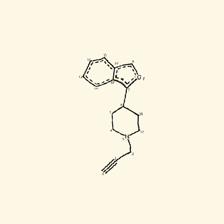 C#CCN1CCC(c2occ3ccccc23)CC1